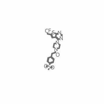 CS(=O)(=O)c1ccc(CC(=O)N2CCN(c3ncnc4sc(CC(F)(F)F)cc34)CC2)cc1